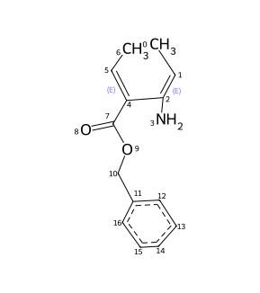 C/C=C(N)\C(=C/C)C(=O)OCc1ccccc1